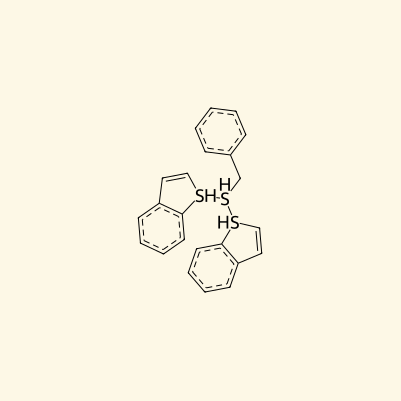 C1=C[SH]([SH](Cc2ccccc2)[SH]2C=Cc3ccccc32)c2ccccc21